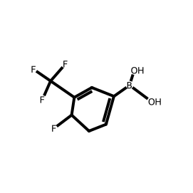 OB(O)C1=CCC(F)C(C(F)(F)F)=C1